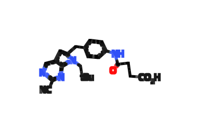 CC(C)(C)Cn1c(Cc2ccc(NC(=O)CCC(=O)O)cc2)cc2cnc(C#N)nc21